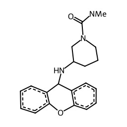 CNC(=O)N1CCCC(NC2c3ccccc3Oc3ccccc32)C1